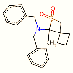 CC1(N(Cc2ccccc2)Cc2ccccc2)C2(CCC2)CS1(=O)=O